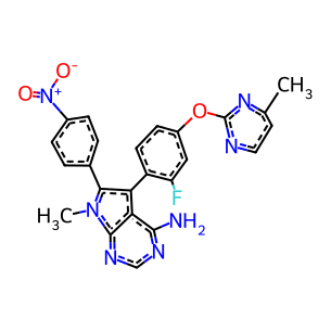 Cc1ccnc(Oc2ccc(-c3c(-c4ccc([N+](=O)[O-])cc4)n(C)c4ncnc(N)c34)c(F)c2)n1